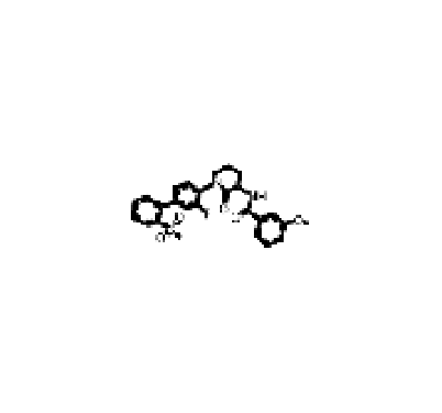 COc1cccc(C(=O)NC2CCCN(c3ccc(-c4ccccc4S(C)(=O)=O)cc3F)C2=O)c1